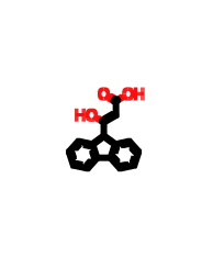 O=C(O)C=C(O)C1c2ccccc2-c2ccccc21